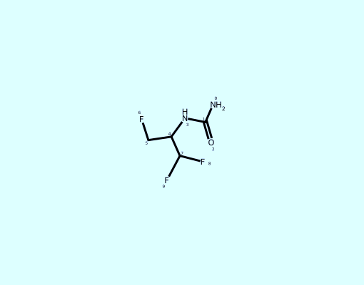 NC(=O)NC(CF)C(F)F